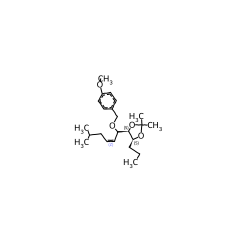 CCC[C@@H]1OC(C)(C)O[C@@H]1C(/C=C\CC(C)C)OCc1ccc(OC)cc1